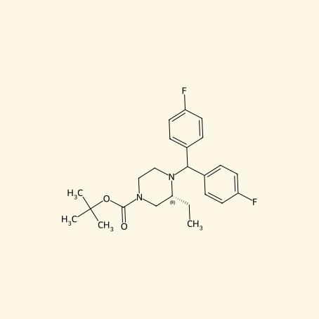 CC[C@@H]1CN(C(=O)OC(C)(C)C)CCN1C(c1ccc(F)cc1)c1ccc(F)cc1